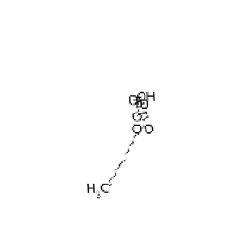 CCCCCCCCCCCCCCOC(=O)c1ccc(CS(=O)(=O)O)o1